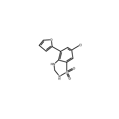 O=S1(=O)NCNc2c(-c3ccco3)cc(Cl)cc21